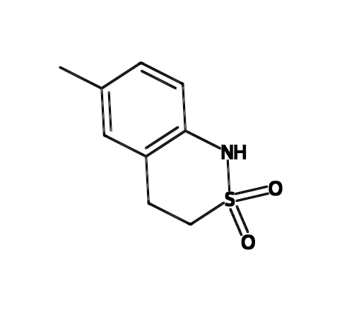 Cc1ccc2c(c1)CCS(=O)(=O)N2